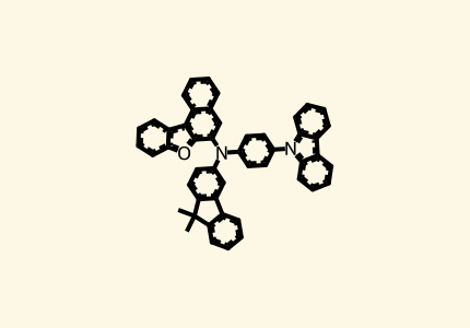 CC1(C)c2ccccc2-c2cc(N(c3ccc(-n4c5ccccc5c5ccccc54)cc3)c3cc4ccccc4c4c3oc3ccccc34)ccc21